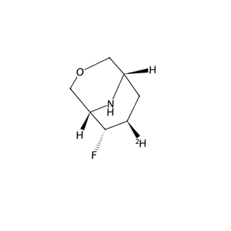 [2H][C@@H]1C[C@H]2COC[C@H](N2)[C@H]1F